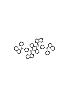 c1ccc(N(c2ccc(N(c3cccc4ccccc34)c3c4ccccc4c(N(c4ccc(N(c5ccccc5)c5cccc6ccccc56)cc4)c4cccc5ccccc45)c4ccccc34)cc2)c2cccc3ccccc23)cc1